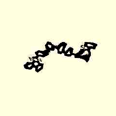 c1cc(-c2ccc(-c3ccc(-c4cccc5c4sc4ccccc45)cc3)cc2)cc(-c2ccc(-c3cnc4c5ccccc5c5ccccc5c4n3)cc2)c1